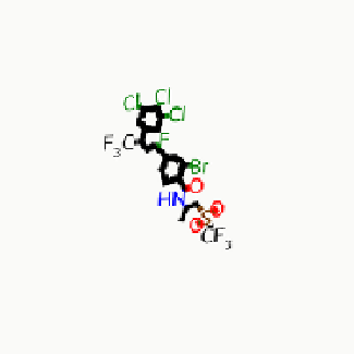 CC(CS(=O)(=O)CC(F)(F)F)NC(=O)c1ccc(/C(F)=C/C(c2cc(Cl)c(Cl)c(Cl)c2)C(F)(F)F)cc1Br